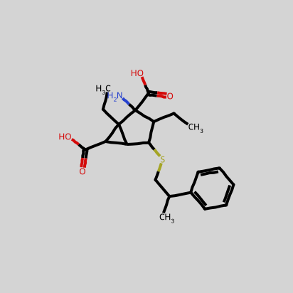 CCC1C(SCC(C)c2ccccc2)C2C(C(=O)O)C2(CC)C1(N)C(=O)O